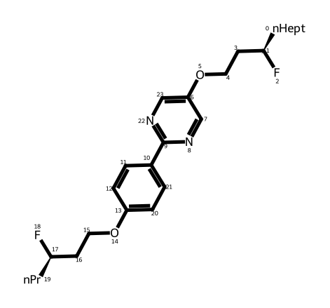 CCCCCCC[C@@H](F)CCOc1cnc(-c2ccc(OCC[C@H](F)CCC)cc2)nc1